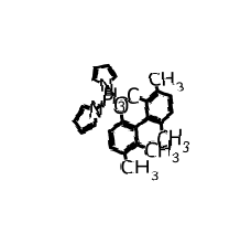 Cc1ccc(C)c(-c2c(OP(n3cccc3)n3cccc3)ccc(C)c2C)c1C